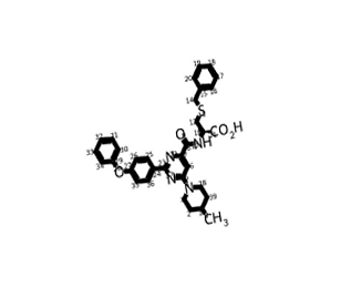 CC1CCN(c2cc(C(=O)N[C@@H](CSCc3ccccc3)C(=O)O)nc(-c3ccc(Oc4ccccc4)cc3)n2)CC1